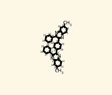 Cc1ccc2nc(-c3ccc(-c4nc5ccc(C)cc5nc4-c4ccccc4)cc3)c(-c3ccccc3)nc2c1